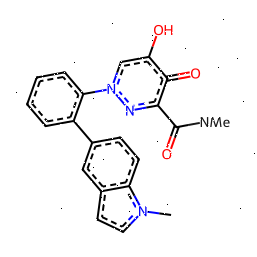 CNC(=O)c1nn(-c2ccccc2-c2ccc3c(ccn3C)c2)cc(O)c1=O